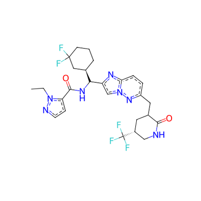 CCn1nccc1C(=O)NC(c1cn2nc(CC3C[C@@H](C(F)(F)F)CNC3=O)ccc2n1)[C@@H]1CCCC(F)(F)C1